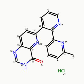 Cc1cccc(-c2ncccc2-c2ccc3nc[nH]c(=O)c3n2)n1.Cl